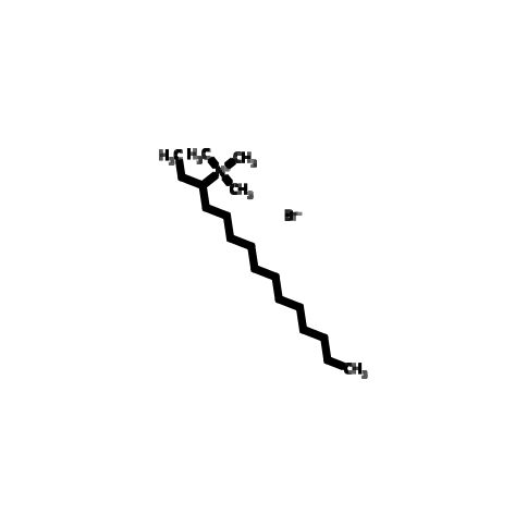 CCCCCCCCCCCCC(CC)[N+](C)(C)C.[Br-]